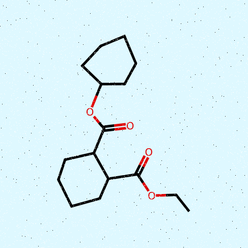 CCOC(=O)C1CCCCC1C(=O)OC1CCCCC1